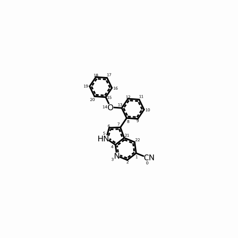 N#Cc1cnc2[nH]cc(-c3ccccc3Oc3ccccc3)c2c1